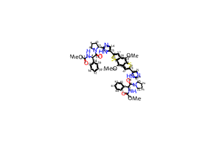 COC(=O)NC(C(=O)N1CCC[C@H]1c1ncc(-c2cc3c(OC)c4sc(-c5cnc([C@@H]6CCCN6C(=O)C(NC(=O)OC)c6ccccc6)[nH]5)cc4c(OC)c3s2)[nH]1)c1ccccc1